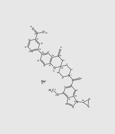 COc1cc(C(=O)N2CCC3(CC2)CC(=O)c2cc(-c4cc(C(=O)[O-])ccn4)ccc2O3)cc2c1ccn2C1CC1.[Na+]